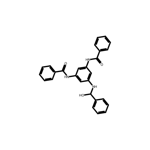 O=C(Nc1cc(NC(=O)c2ccccc2)cc(NC(O)c2ccccc2)c1)c1ccccc1